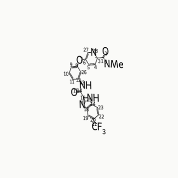 CNC(=O)c1ccc(Oc2cccc(NC(=O)c3nc4cc(C(F)(F)F)ccc4[nH]3)c2)cn1